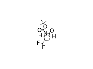 CC(C)(C)OC(=O)N1C(=O)[C@H]2C[C@@H](C(F)F)[C@@H]1C2